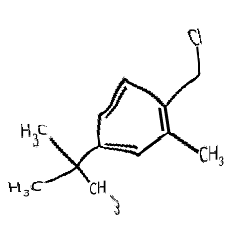 Cc1cc(C(C)(C)C)ccc1CCl